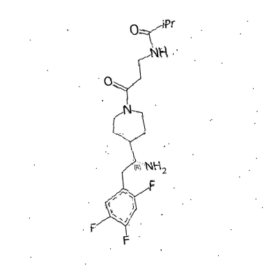 CC(C)C(=O)NCCC(=O)N1CCC([C@H](N)Cc2cc(F)c(F)cc2F)CC1